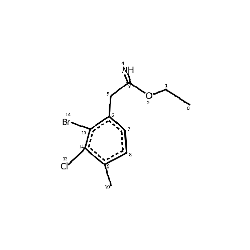 CCOC(=N)Cc1ccc(C)c(Cl)c1Br